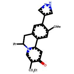 CCOC(=O)c1cn2c(cc1=O)-c1cc(OC)c(-c3cn[nH]c3)cc1CC2C(C)C